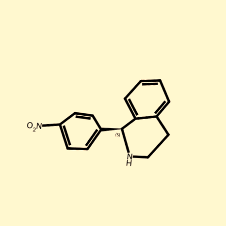 O=[N+]([O-])c1ccc([C@@H]2NCCc3ccccc32)cc1